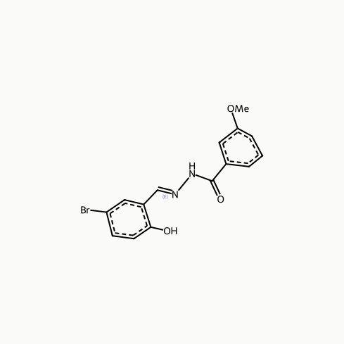 COc1cccc(C(=O)N/N=C/c2cc(Br)ccc2O)c1